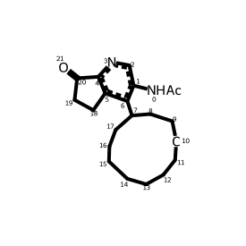 CC(=O)Nc1cnc2c(c1C1CCCCCCCCCC1)CCC2=O